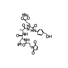 CC(C)CC(NC(=O)CCN1C(=O)C=CC1=O)C(=O)NC(C)C(=O)NC(CCC(=O)OC(C)(C)C)C(=O)Nc1ccc(CO)cc1